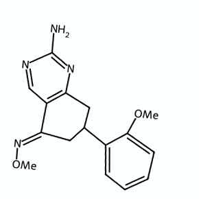 CON=C1CC(c2ccccc2OC)Cc2nc(N)ncc21